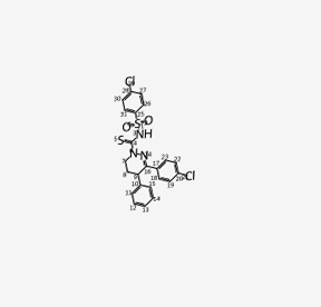 O=S(=O)(NC(=S)N1CCC(c2ccccc2)C(c2ccc(Cl)cc2)=N1)c1ccc(Cl)cc1